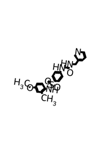 COc1ccc(NS(=O)(=O)c2ccc(NC(=O)NCc3cccnc3)cc2)c(C)c1